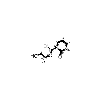 CC[C@H](O[C@H](C)CO)n1cccnc1=O